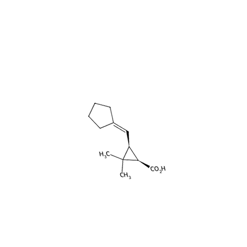 CC1(C)[C@H](C(=O)O)[C@@H]1C=C1CCCC1